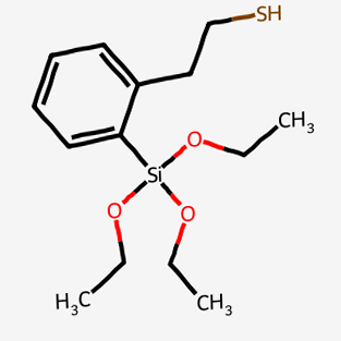 CCO[Si](OCC)(OCC)c1ccccc1CCS